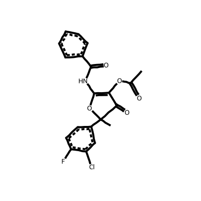 CC(=O)OC1=C(NC(=O)c2ccccc2)OC(C)(c2ccc(F)c(Cl)c2)C1=O